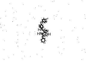 Cc1ccc(Oc2ccc(Nc3snc(O)c3C(=N)NCC3CCCCC3)cn2)cn1